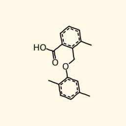 Cc1ccc(C)c(OCc2c(C)cccc2C(=O)O)c1